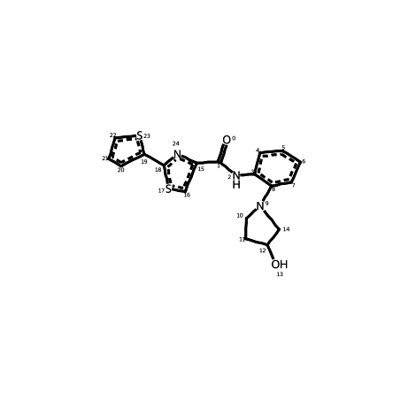 O=C(Nc1ccccc1N1CCC(O)C1)c1csc(-c2cccs2)n1